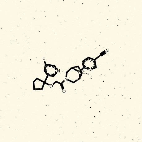 C[C@H]1CC2CN(C(=O)COC3(c4cncc(F)c4)CCCC3)CC1N2c1ccc(C#N)cn1